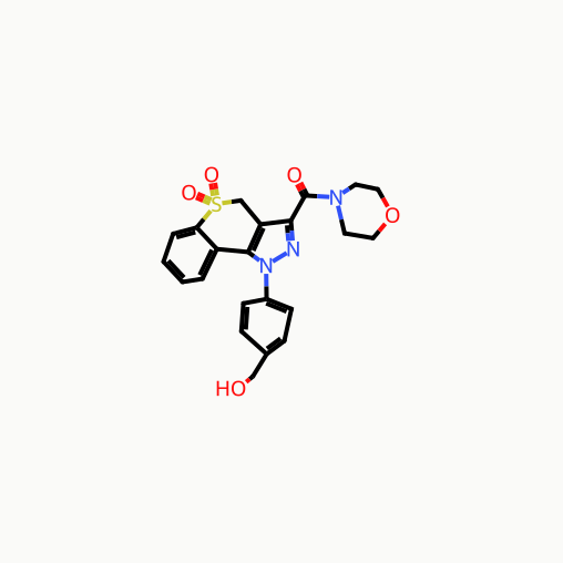 O=C(c1nn(-c2ccc(CO)cc2)c2c1CS(=O)(=O)c1ccccc1-2)N1CCOCC1